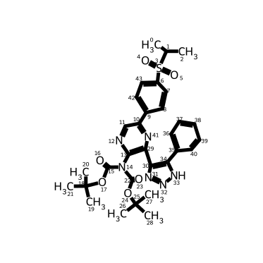 CC(C)S(=O)(=O)c1ccc(-c2cnc(N(C(=O)OC(C)(C)C)C(=O)OC(C)(C)C)c(-c3nn[nH]c3-c3ccccc3)n2)cc1